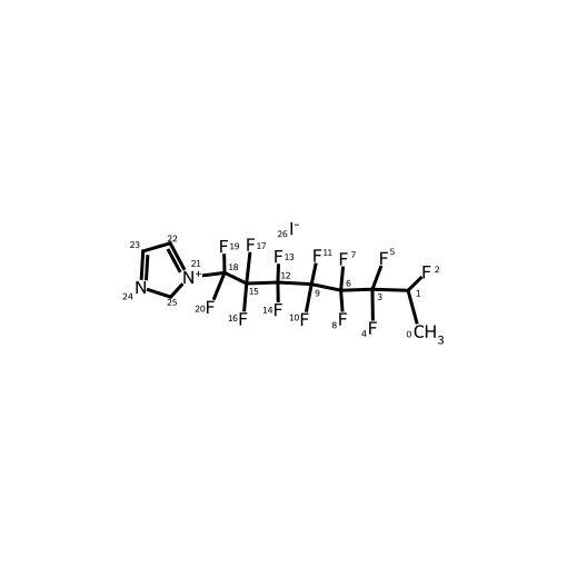 CC(F)C(F)(F)C(F)(F)C(F)(F)C(F)(F)C(F)(F)C(F)(F)[N+]1=CC=NC1.[I-]